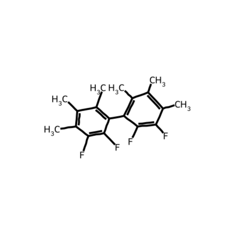 Cc1c(C)c(F)c(F)c(-c2c(C)c(C)c(C)c(F)c2F)c1C